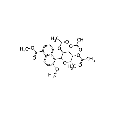 COC(=O)c1cccc2c(C3O[C@@H](C)[C@@H](OC(C)=O)[C@@H](OC(C)=O)[C@@H]3OC(C)=O)c(OC)ccc12